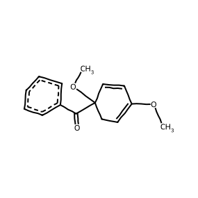 COC1=CCC(OC)(C(=O)c2ccccc2)C=C1